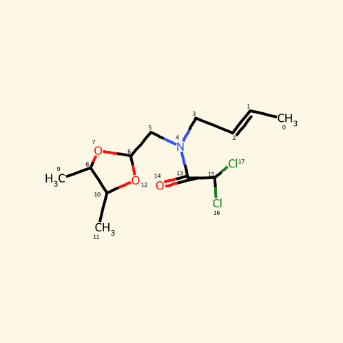 C/C=C/CN(CC1OC(C)C(C)O1)C(=O)C(Cl)Cl